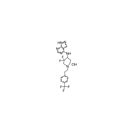 Cl.FC(F)(F)c1ccc(CCN2CCC(Nc3ncnc4[nH]ncc34)C(F)(F)C2)cc1